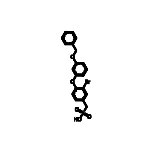 O=S(=O)(O)Cc1ccc(Oc2cccc(OCc3ccccc3)c2)c(Br)c1